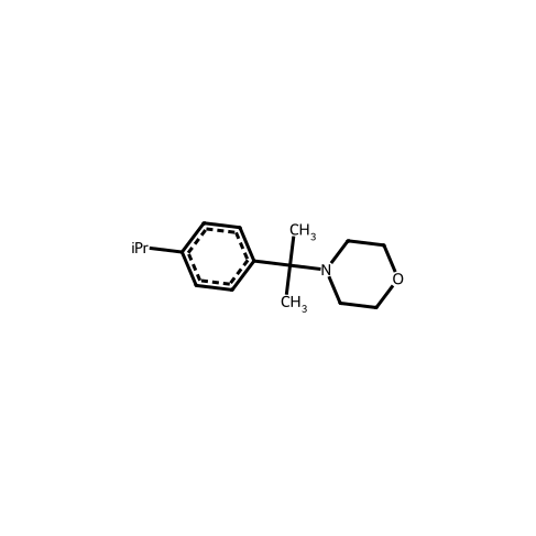 CC(C)c1ccc(C(C)(C)N2CCOCC2)cc1